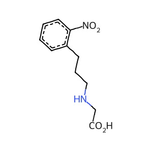 O=C(O)CNCCCc1ccccc1[N+](=O)[O-]